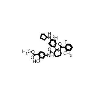 [2H]c1cc([C@H]2[C@@H](C(=O)Nc3ccc(C(=O)OC)c(O)c3)CCCN2C(=O)c2c(C)cccc2F)ccc1NC1CCCC1